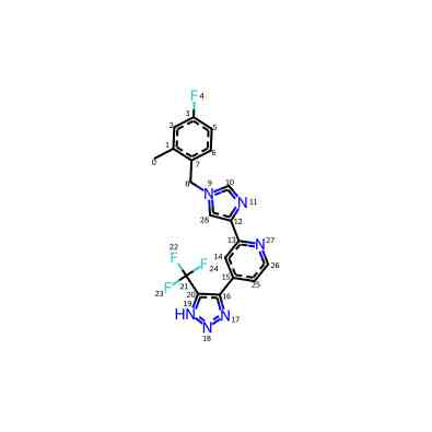 Cc1cc(F)ccc1Cn1cnc(-c2cc(-c3nn[nH]c3C(F)(F)F)ccn2)c1